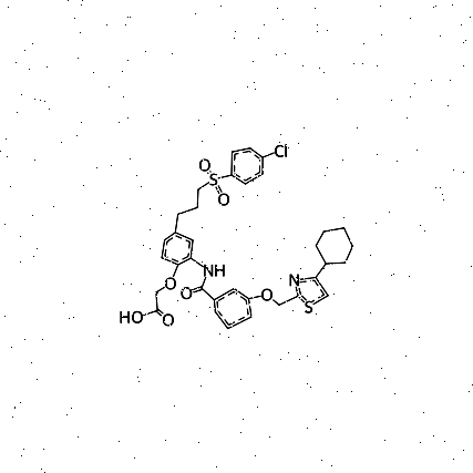 O=C(O)COc1ccc(CCCS(=O)(=O)c2ccc(Cl)cc2)cc1NC(=O)c1cccc(OCc2nc(C3CCCCC3)cs2)c1